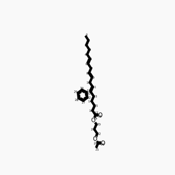 CCCCCC=CCC=CCC=CCCCCC(=O)OCCCOC(C)=O.c1ccccc1